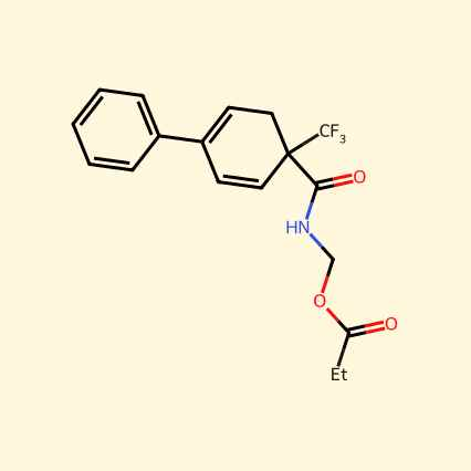 CCC(=O)OCNC(=O)C1(C(F)(F)F)C=CC(c2ccccc2)=CC1